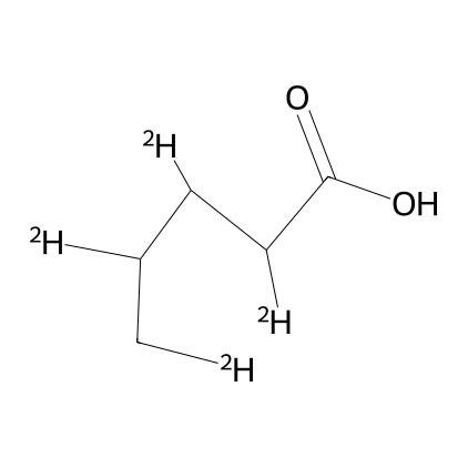 [2H]CC([2H])C([2H])C([2H])C(=O)O